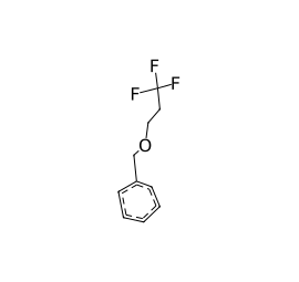 FC(F)(F)CCOCc1ccccc1